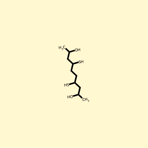 CC(O)CC(S)CCC(S)CC(C)O